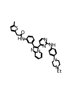 CCN1CCN(c2ccc(Nc3nccc(-c4c(-c5cccc(NC(=O)Cc6ccc(C)s6)c5)nc5ccccn45)n3)cc2)CC1